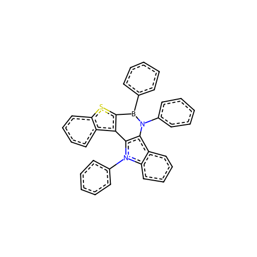 c1ccc(B2c3sc4ccccc4c3-c3c(c4ccccc4n3-c3ccccc3)N2c2ccccc2)cc1